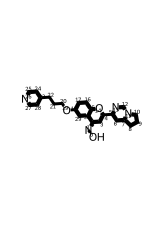 ON=c1cc(-c2cc3cccn3cn2)oc2ccc(OCCCc3ccncc3)cc12